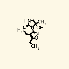 CCc1onc(N2C(=O)NCC2(C)O)c1CC